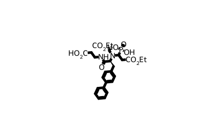 CCOC(=O)CC(N(CC(=O)OCC)[C@@H](Cc1ccc(-c2ccccc2)cc1)C(=O)NCCC(=O)O)P(=O)(O)O